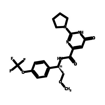 COC[C@@H](NC(=O)c1cc(=O)[nH]c(N2CCCC2)n1)c1ccc(OC(F)(F)F)cc1